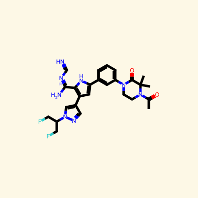 CC(=O)N1CCN(c2cccc(-c3cc(-c4cnn(C(CF)CF)c4)c(/C(N)=N\C=N)[nH]3)c2)C(=O)C1(C)C